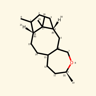 CC1CC[C@@H]2CC3CO[C@@H](C)CCC3CC[C@H]1C2(C)C